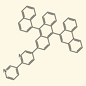 c1cncc(-c2ccc(-c3ccc4c(-c5cc6ccccc6c6ccccc56)c5ccccc5c(-c5cccc6ccccc56)c4c3)cn2)c1